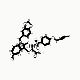 CC#CCOc1ccc(S(=O)(=O)N[C@@H](Cc2c(C)n(Cc3ccc4c(c3)OCO4)c3ccc(Cl)cc23)C(=O)O)cc1